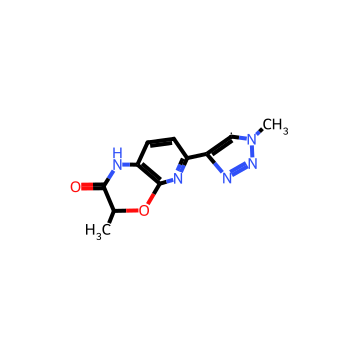 CC1Oc2nc(-c3[c]n(C)nn3)ccc2NC1=O